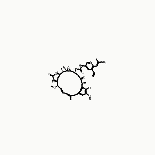 C=Cc1cc(NC(=O)O[C@H]2CC(=O)N(C)c3cc(cc(OC)c3Cl)C/C(C)=C/C=C/[C@@H](OC)[C@@]3(O)C[C@H](OC(=O)N3)[C@@H](C)[C@@H]3O[C@@]23C)cnc1/C=C(\C)N